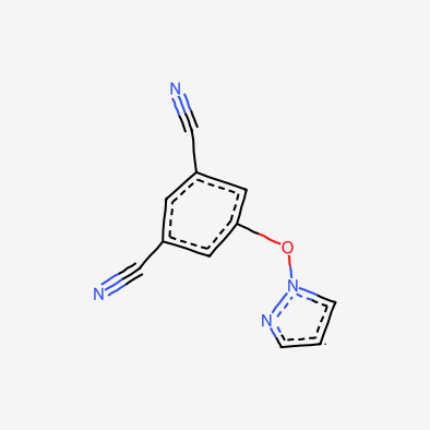 N#Cc1cc(C#N)cc(On2c[c]cn2)c1